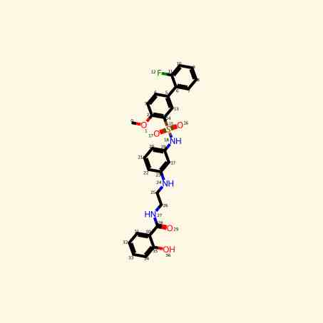 COc1ccc(-c2ccccc2F)cc1S(=O)(=O)Nc1cccc(NCCNC(=O)c2ccccc2O)c1